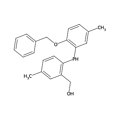 Cc1ccc(Pc2cc(C)ccc2OCc2ccccc2)c(CO)c1